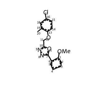 COc1ccccc1-c1nnc(COc2ccc(Cl)cc2C)o1